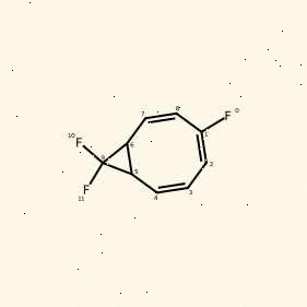 FC1=CC=CC2C(C=C1)C2(F)F